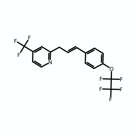 FC(F)(F)c1[c]c(CC=Cc2ccc(OC(F)(F)C(F)(F)F)cc2)ncc1